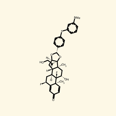 CNc1cccc(Sc2ccc([C@H]3O[C@@H]4C[C@H]5[C@@H]6C[C@H](F)C7=CC(=O)C=C[C@]7(C)[C@@]6(F)[C@@H](O)C[C@]5(C)[C@]4(C(=O)CO)O3)cc2)c1